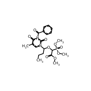 CCCC(OC(C(=O)OC)P(=O)(OC)OC)n1cc(C)c(=O)n(C(=O)c2ccccc2)c1=O